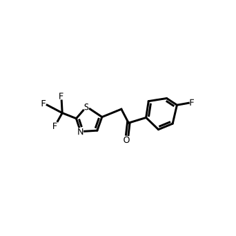 O=C(Cc1cnc(C(F)(F)F)s1)c1ccc(F)cc1